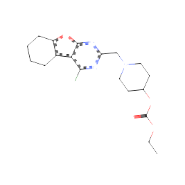 CCOC(=O)OC1CCN(Cc2nc(Cl)c3c4c(oc3n2)CCCC4)CC1